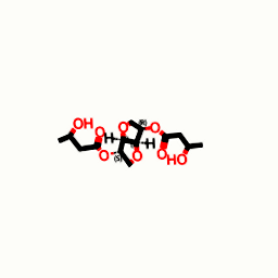 CC(O)CC(=O)O[C@H]1CO[C@H]2[C@@H]1OC[C@H]2OC(=O)CC(C)O